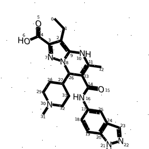 CCc1c(C(=O)O)nn2c1NC(C)=C(C(=O)Nc1ccc3[nH]ncc3c1)C2C1CCN(C)CC1